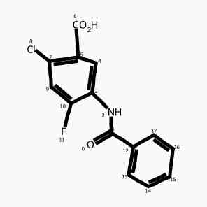 O=C(Nc1cc(C(=O)O)c(Cl)cc1F)c1ccccc1